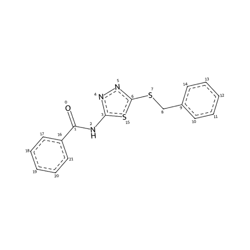 O=C(Nc1nnc(SCc2ccccc2)s1)c1ccccc1